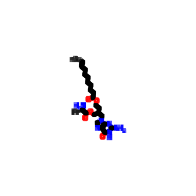 CCCCC=CCCCCCCCC(=O)OCCC(COC(=O)[C@@H](N)C(C)C)Cn1cnc2c(=O)[nH]c(N)nc21